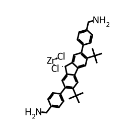 CC(C)(C)c1cc2c(cc1-c1ccc(CN)cc1)[CH]c1cc(-c3ccc(CN)cc3)c(C(C)(C)C)cc1-2.[Cl][Zr][Cl]